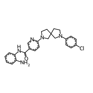 Nc1ccccc1NC(=O)c1ccc(N2CCC3(CCN(c4ccc(Cl)cc4)C3)C2)nc1